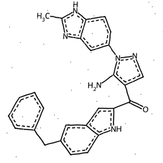 Cc1nc2cc(-n3ncc(C(=O)c4cc5cc(Cc6ccccc6)ccc5[nH]4)c3N)ccc2[nH]1